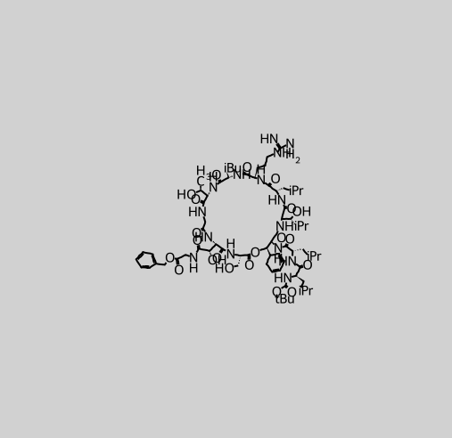 CC[C@H](C)[C@@H]1NC(=O)[C@@H](CCCNC(=N)N)NC(=O)[C@H](CC(C)C)NC(=O)[C@H]([C@H](O)C(C)C)NC(=O)[C@@H](NC(=O)[C@H](CC(C)C)NC(=O)[C@@H](CC(C)C)NC(=O)OC(C)(C)C)[C@@H](C2C=CC=CC2)OC(=O)[C@H](CO)NC(=O)[C@H]([C@H](O)C(=O)NCC(=O)OCc2ccccc2)NC(=O)CNC(=O)[C@H]([C@H](C)O)NC1=O